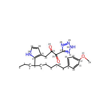 CCCC(CCCCCc1ccc(OC)cc1)c1[nH]ccc1CC(=O)C(=O)c1nn[nH]n1